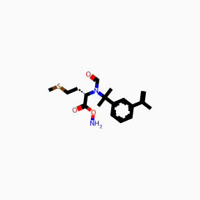 C=C(C)c1cccc(C(C)(C)N(C=O)[C@@H](CCSC)C(=O)ON)c1